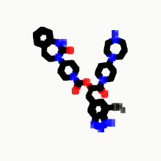 Cc1cc(C[C@@H](OC(=O)N2CCC(N3CCc4ccccc4NC3=O)CC2)C(=O)N2CCC(N3CCCNCC3)CC2)cc2nn[nH]c12